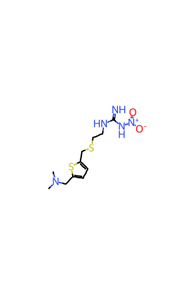 CN(C)Cc1ccc(CSCCNC(=N)N[N+](=O)[O-])s1